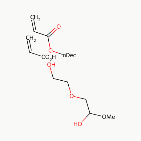 C=CC(=O)O.C=CC(=O)OCCCCCCCCCC.COC(O)COCCO